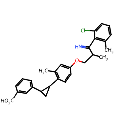 Cc1cc(OCC(C)C(=N)c2c(C)cccc2Cl)ccc1C1CC1c1cccc(C(=O)O)c1